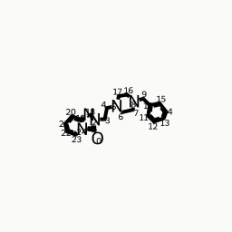 O=c1n(CCN2CCN(Cc3ccccc3)CC2)nc2ccccn12